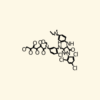 CCN(C)c1ccc(NC2C(=O)N(c3c(Cl)cc(Cl)cc3Cl)N=C2Nc2cc(N(C=O)C(=O)C(=O)C(=O)C(=O)C(=O)C=O)ccc2Cl)cc1